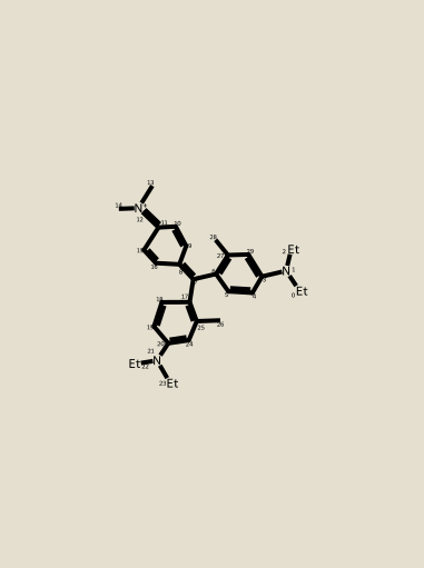 CCN(CC)c1ccc(C(=C2C=CC(=[N+](C)C)C=C2)c2ccc(N(CC)CC)cc2C)c(C)c1